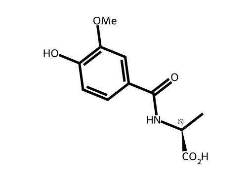 COc1cc(C(=O)N[C@@H](C)C(=O)O)ccc1O